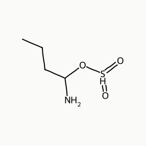 CCCC(N)O[SH](=O)=O